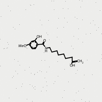 C=C(O)CCCCCCCNC(=O)c1ccc(OC)cc1O